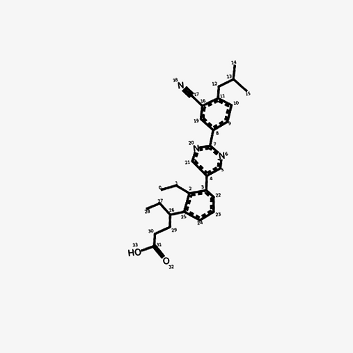 CCc1c(-c2cnc(-c3ccc(CC(C)C)c(C#N)c3)nc2)cccc1C(CC)CCC(=O)O